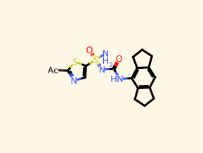 CC(=O)c1ncc(S(N)(=O)=NC(=O)Nc2c3c(cc4c2CCC4)CCC3)s1